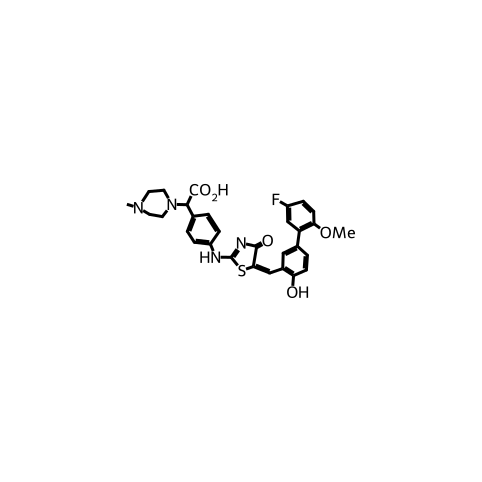 COc1ccc(F)cc1-c1ccc(O)c(/C=C2/SC(Nc3ccc(C(C(=O)O)N4CCN(C)CC4)cc3)=NC2=O)c1